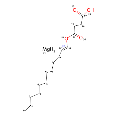 CCCCCCCCCC/C=C/OC(=O)CCC(=O)O.[MgH2]